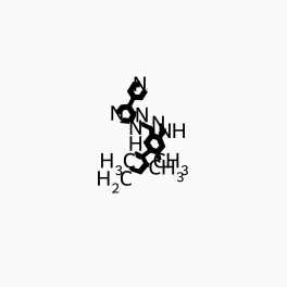 C=C/C=C(C)\C(=C/C)c1cc2c(-c3nc4c(-c5ccncc5)cncc4[nH]3)n[nH]c2cc1C